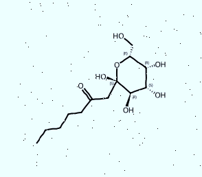 CCCCCC(=O)C[C@]1(O)O[C@H](CO)[C@H](O)[C@H](O)[C@H]1O